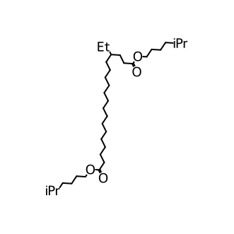 CCC(CCCCCCCCCCCCCCC(=O)OCCCCC(C)C)CCC(=O)OCCCCC(C)C